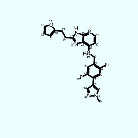 Cn1cc(-c2cc(F)c(CNc3ccnc4[nH]c(CCc5ccco5)nc34)cc2F)cn1